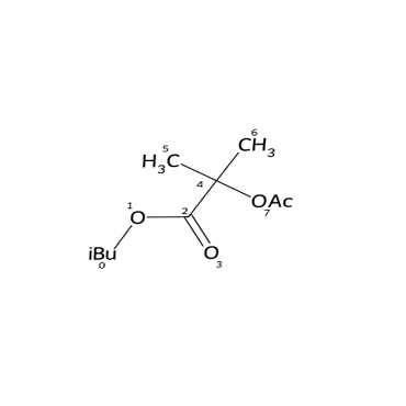 CCC(C)OC(=O)C(C)(C)OC(C)=O